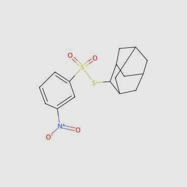 O=[N+]([O-])c1cccc(S(=O)(=O)SC2[C]3CC4CC(C3)CC2C4)c1